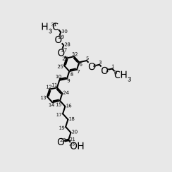 CCOCOCc1cc(C=Cc2cccc(CCCCCC(=O)O)c2)cc(OCOCC)c1